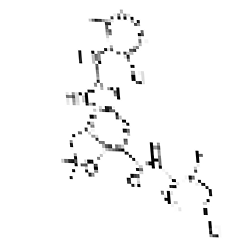 Cc1cccc(Cl)c1Nc1nc2cc(C(=O)Nc3ncc(Cl)cc3F)c3c(c2[nH]1)CC(C)(C)O3